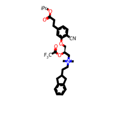 CC(C)OC(=O)CCc1ccc(C#N)c(OC[C@@H](C[N+](C)(C)CCC2Cc3ccccc3C2)OC(=O)C(F)(F)F)c1